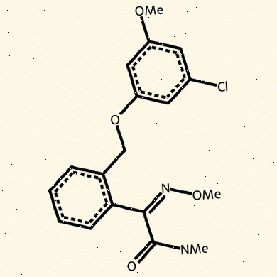 CNC(=O)C(=NOC)c1ccccc1COc1cc(Cl)cc(OC)c1